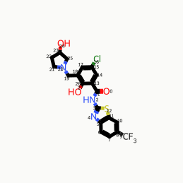 O=C(Nc1nc2ccc(C(F)(F)F)cc2s1)c1cc(Cl)cc(CN2CCC(O)C2)c1O